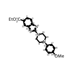 CCOC(=O)c1ccc2nc(N3CCN(c4ccc(OC)cc4)CC3)sc2c1